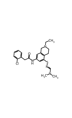 CCN1CCc2c(cc(NC(=O)Cc3ccccc3Cl)cc2S/N=C/N(C)C)C1